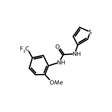 COc1ccc(C(F)(F)F)cc1NC(=O)Nc1ccsc1